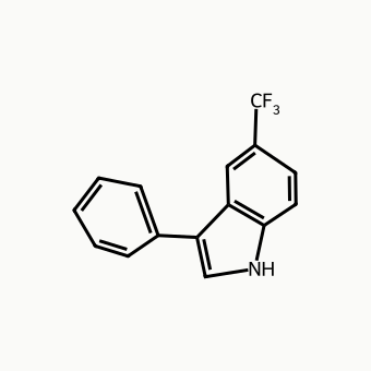 FC(F)(F)c1ccc2[nH]cc(-c3ccccc3)c2c1